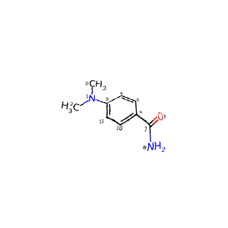 CN(C)c1ccc(C(N)=O)cc1